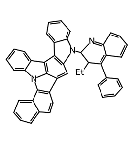 CCC1C(c2ccccc2)=c2ccccc2=NC1n1c2ccccc2c2c3c4ccccc4n4c5c6ccccc6ccc5c(cc21)c34